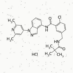 Cc1cc(-n2ncc3c(NC(=O)c4cc(CNC(=O)C(C)(C)C)ccc4Cl)cccc32)cc(C)n1.Cl